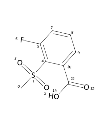 CS(=O)(=O)c1c(F)cccc1C(=O)O